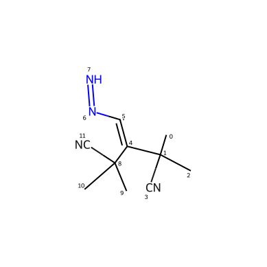 CC(C)(C#N)C(=[C]N=N)C(C)(C)C#N